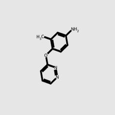 Cc1cc(N)ccc1Oc1cccnn1